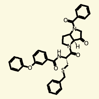 O=C(N[C@@H](CSCc1ccccc1)C(=O)N1CCC2[C@H]1C(=O)CN2C(=O)c1ccccc1)c1cccc(Oc2ccccc2)c1